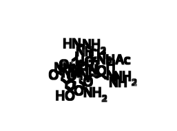 CC(=O)N[C@H](C(=O)N[C@@H](CCCNC(=N)N)C(=O)N[C@@H](CCC(N)=O)C(=O)N(C)[C@@H](CCCNC(=N)N)C(=O)N[C@@H](Cc1cccc(O)c1)C(N)=O)[C@@H](C)O